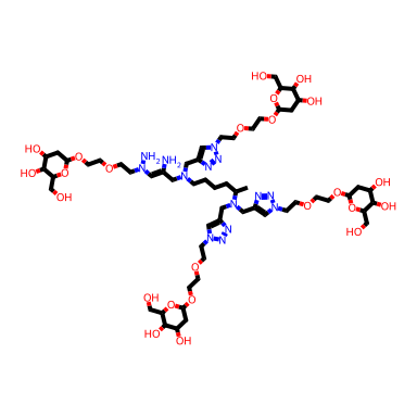 CC(CCCCN(C/C(N)=C/N(N)CCOCCOC1CC(O)C(O)C(CO)O1)Cc1cn(CCOCCOC2CC(O)C(O)C(CO)O2)nn1)N(Cc1cn(CCOCCOC2CC(O)C(O)C(CO)O2)nn1)Cc1cn(CCOCCOC2CC(O)C(O)C(CO)O2)nn1